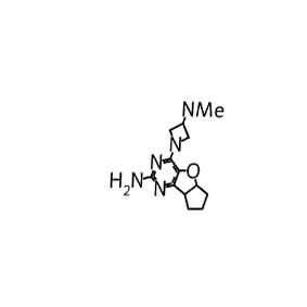 CNC1CN(c2nc(N)nc3c2OC2CCCC32)C1